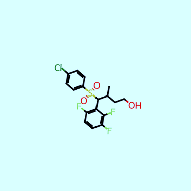 CC(CCO)C(c1c(F)ccc(F)c1F)S(=O)(=O)c1ccc(Cl)cc1